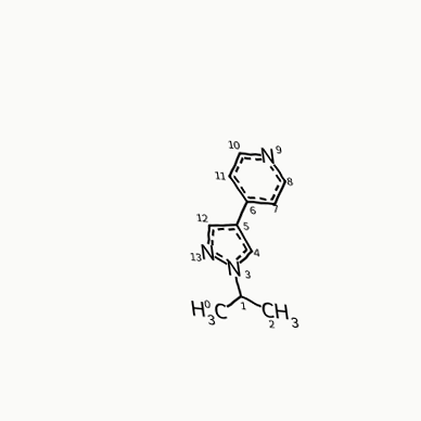 CC(C)n1cc(-c2ccncc2)cn1